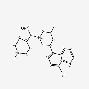 CC1CC(c2ccc(Cl)c3ncccc23)CN(C(C=O)C2CCN(C)CC2)C1